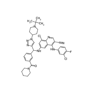 CC(C)(C)N1CCC(n2cc(C(Nc3cc(Cl)c4ncc(C#N)c(Nc5ccc(F)c(Cl)c5)c4c3)c3cccc(C(=O)N4CCCCC4)c3)nn2)CC1